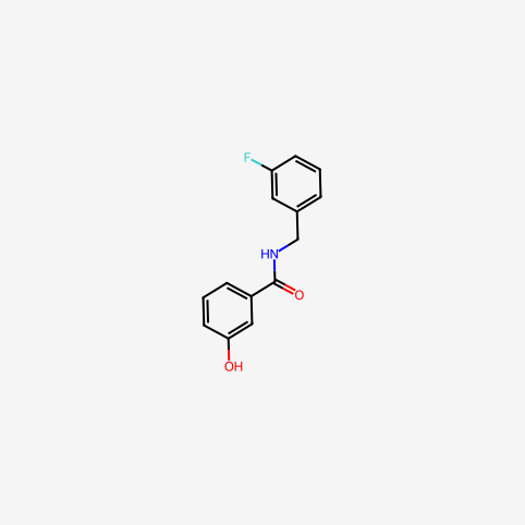 O=C(NCc1cccc(F)c1)c1cccc(O)c1